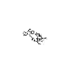 C=C(/C=C\C(Cl)=C/C)[C@@]1(O)CCN(CC/C=C2\c3cc(C(C)(C)O)ccc3OCc3ncccc32)CC1(C)C